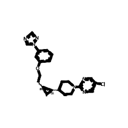 Clc1cnc(N2CCC([C@@H]3C[C@@H]3CCOc3cccc(-n4cncn4)c3)CC2)nc1